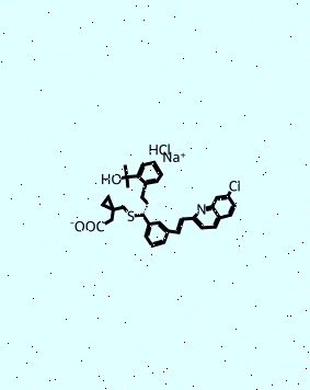 CC(C)(O)c1ccccc1CC[C@@H](SCC1(CC(=O)[O-])CC1)c1cccc(/C=C/c2ccc3ccc(Cl)cc3n2)c1.Cl.[Na+]